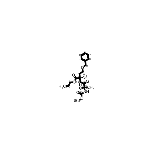 C=CCOC(=O)[C@](N)(CCOCc1ccccc1)CC(=O)C(C)(C)NC(=O)OC(C)(C)C